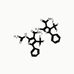 NC(=O)Nc1sc(-c2ccccc2)c(C(F)(F)F)c1C(N)=O.NC(=O)c1c(N)sc(-c2ccccc2)c1C(F)(F)F